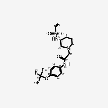 C=CS(=O)(=O)N[C@@H]1CCCN(CC(=O)Nc2ccc(OC(F)(F)F)cc2)C1